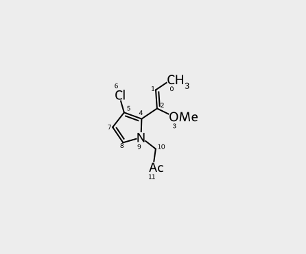 CC=C(OC)c1c(Cl)ccn1CC(C)=O